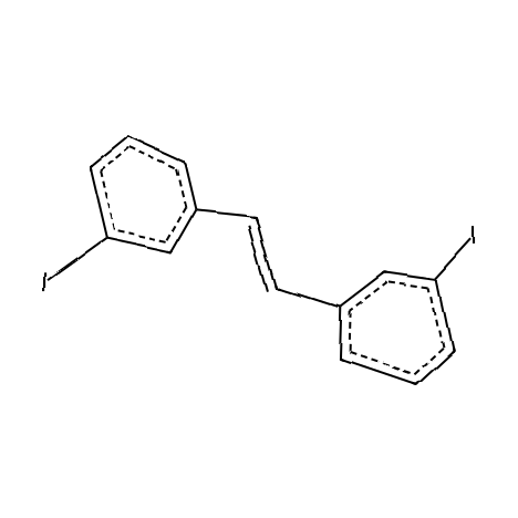 Ic1cccc(C=Cc2cccc(I)c2)c1